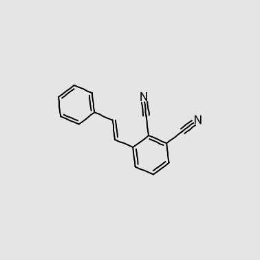 N#Cc1cccc(C=Cc2ccccc2)c1C#N